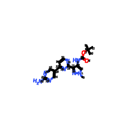 Cn1cc(NC(=O)OC(C)(C)C)c(-c2nccc(-c3cnc(N)nc3)n2)n1